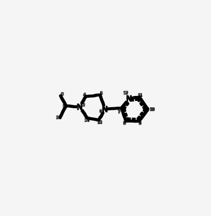 CC(C)N1CCN(c2cc[c]cn2)CC1